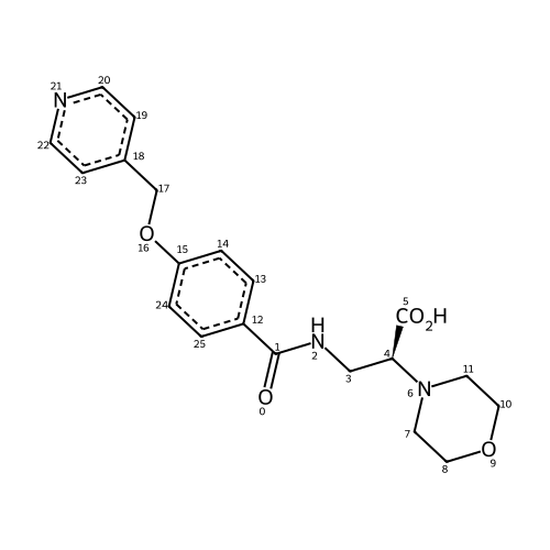 O=C(NC[C@@H](C(=O)O)N1CCOCC1)c1ccc(OCc2ccncc2)cc1